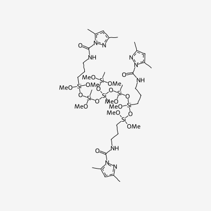 CO[Si](C)(OC)O[Si](C)(O[Si](C)(OC)O[Si](CCCNC(=O)n1nc(C)cc1C)(OC)OC)O[Si](C)(OC)O[Si](CCCNC(=O)n1nc(C)cc1C)(OC)O[Si](CCCNC(=O)n1nc(C)cc1C)(OC)OC